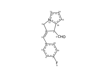 O=CC1/C(=C\c2ccc(F)cc2)Cn2cccc21